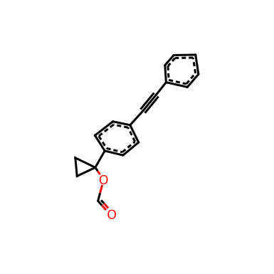 O=COC1(c2ccc(C#Cc3ccccc3)cc2)CC1